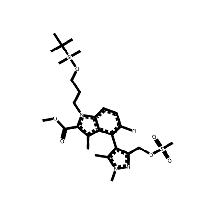 COC(=O)c1c(C)c2c(-c3c(COS(C)(=O)=O)nn(C)c3C)c(Cl)ccc2n1CCCO[Si](C)(C)C(C)(C)C